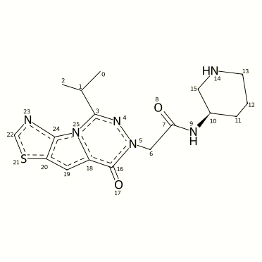 CC(C)c1nn(CC(=O)N[C@@H]2CCCNC2)c(=O)c2cc3scnc3n12